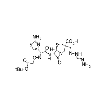 CC(C)(C)OC(=O)CON=C(C(=O)NC1C(=O)N2CC(C=NNC=NN)(C(=O)O)CS[C@H]12)c1csc(N)n1